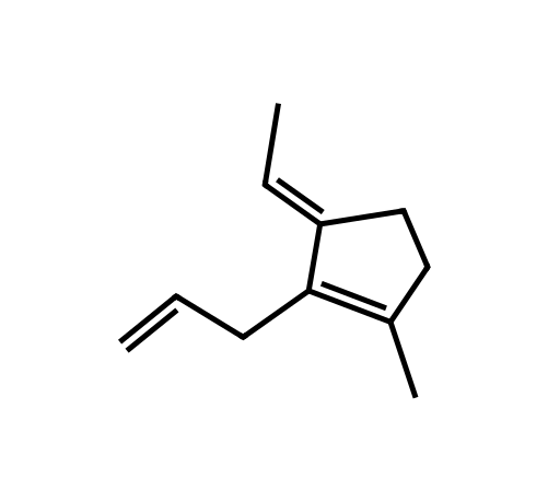 C=CCC1=C(C)CCC1=CC